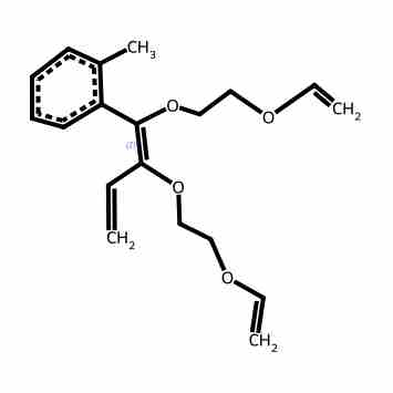 C=COCCO/C(C=C)=C(\OCCOC=C)c1ccccc1C